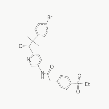 CCS(=O)(=O)c1ccc(CC(=O)Nc2ccc(C(=O)C(C)(C)c3ccc(Br)cc3)nc2)cc1